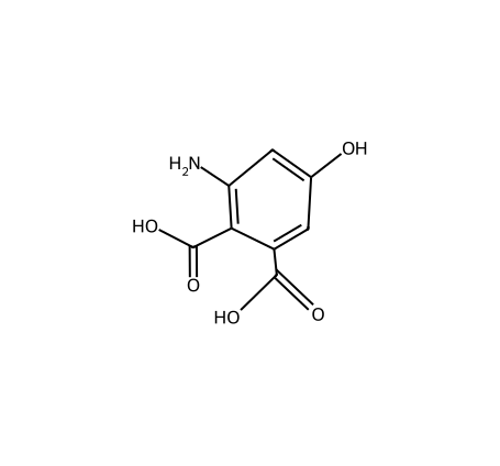 Nc1cc(O)cc(C(=O)O)c1C(=O)O